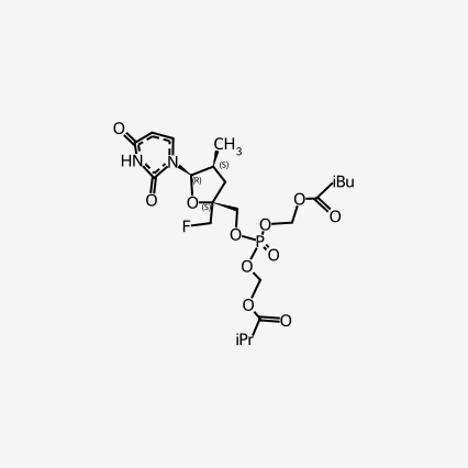 CCC(C)C(=O)OCOP(=O)(OCOC(=O)C(C)C)OC[C@]1(CF)C[C@H](C)[C@H](n2ccc(=O)[nH]c2=O)O1